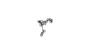 COc1ccc(C(=O)CCCCCCC(=O)N[C@H](CN2CCCC2)[C@H](O)c2ccc(OCCOc3cccc(C(F)(F)F)c3)cc2)cc1